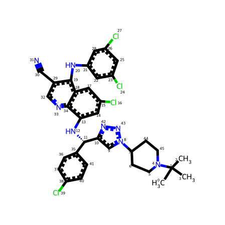 CC(C)(C)N1CCC(n2cc([C@@H](Nc3cc(Cl)cc4c(Nc5cc(Cl)cc(Cl)c5)c(C#N)cnc34)c3ccc(Cl)cc3)nn2)CC1